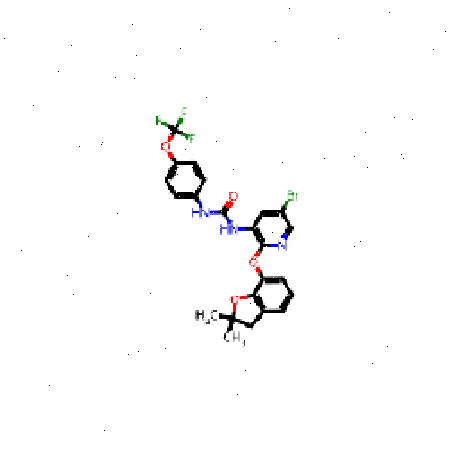 CC1(C)Cc2cccc(Oc3ncc(Br)cc3NC(=O)Nc3ccc(OC(F)(F)F)cc3)c2O1